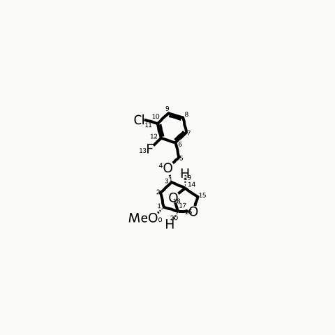 CO[C@@H]1C[C@H](OCc2cccc(Cl)c2F)[C@H]2CO[C@@H]1O2